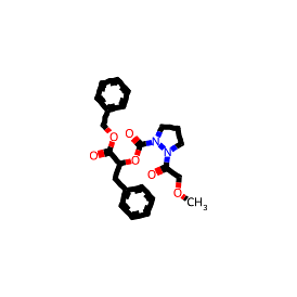 COCC(=O)N1CCCN1C(=O)OC(Cc1ccccc1)C(=O)OCc1ccccc1